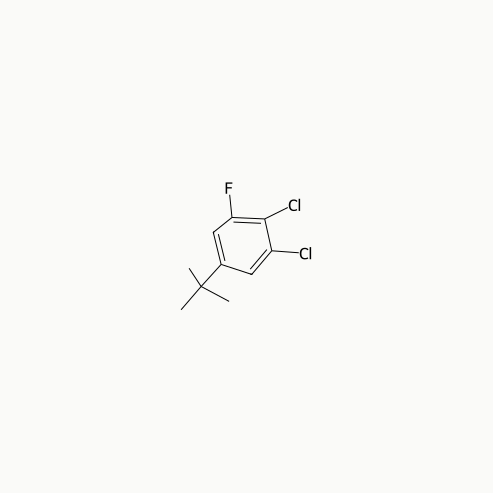 CC(C)(C)c1cc(F)c(Cl)c(Cl)c1